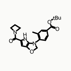 Cc1cc(C(=O)OC(C)(C)C)ccc1N1COc2cc(C(=O)N3CCC3)[nH]c21